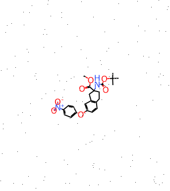 COC(=O)C1(NC(=O)OC(C)(C)C)CCc2ccc(Oc3ccc([N+](=O)[O-])cc3)cc2C1